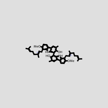 COc1ccc2c([nH]c3c(-c4c(O)c(C)cc5c4[nH]c4c(C/C=C(\C)CCC=C(C)C)c(OC)ccc45)c(O)c(C)cc32)c1C/C=C(\C)CCC=C(C)C